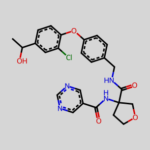 CC(O)c1ccc(Oc2ccc(CNC(=O)C3(NC(=O)c4cncnc4)CCOC3)cc2)c(Cl)c1